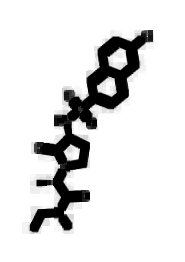 CCN(C)C(=O)[C@H](C)N1CC[C@H](NS(=O)(=O)c2ccc3cc(Cl)ccc3c2)C1=O